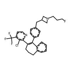 FCCCN1CC(Cc2ccc(C3=C(c4nccc(C(F)(F)F)c4Cl)CCCc4ccccc43)cc2)C1